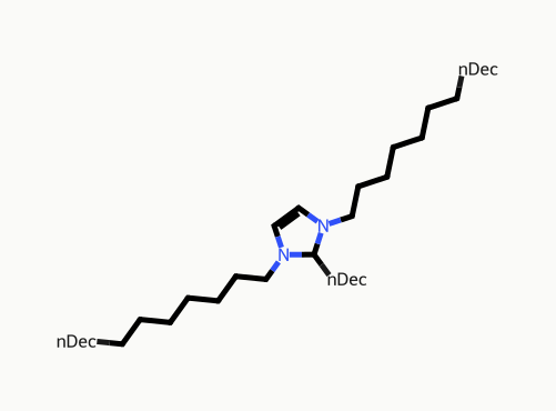 CCCCCCCCCCCCCCCCCN1C=CN(CCCCCCCCCCCCCCCCC)C1CCCCCCCCCC